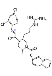 CC1CN(C(=O)/C=C/c2ccc(Cl)cc2Cl)C(CCCNC(=N)N)CN1C(=O)Cc1ccc2ccccc2c1